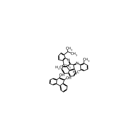 Cc1cccc(C)c1N=C1C(=Nc2c(C(C)C)cccc2C(C)C)c2cccc3cccc1c23.Oc1c(O)c2ccccc2c2ccccc12